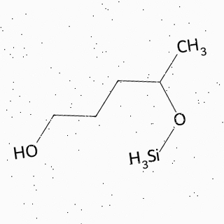 CC(CCCO)O[SiH3]